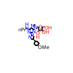 CCCNc1nc(-n2cc(-c3ccc(OC)cc3)cn2)nc2c1ncn2[C@@H]1O[C@H](CO)[C@@H](O)[C@H]1O